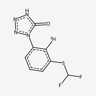 [3H]c1c(SC(F)F)cccc1-n1nn[nH]c1=O